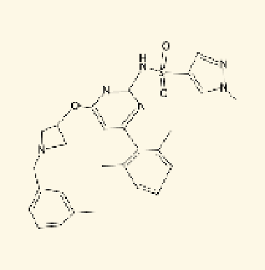 Cc1cccc(CN2CC(Oc3cc(-c4c(C)cccc4C)nc(NS(=O)(=O)c4cnn(C)c4)n3)C2)c1